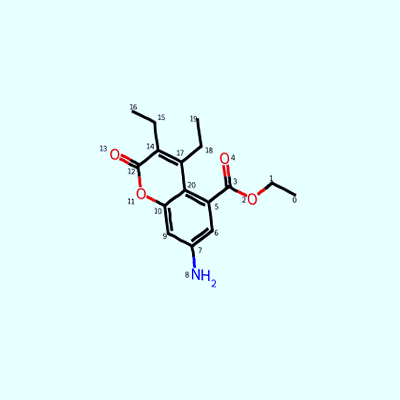 CCOC(=O)c1cc(N)cc2oc(=O)c(CC)c(CC)c12